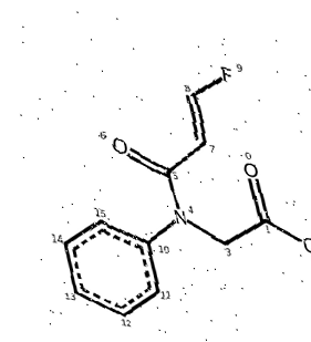 O=C(O)CN(C(=O)C=CF)c1ccccc1